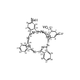 O=S(=O)(O)c1cccc2c3nc4nc(nc5[nH]c(nc6nc(nc([nH]3)c12)-c1ccccc1-6)c1ccccc51)-c1ccccc1-4.[Cu].[NaH]